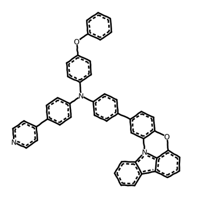 c1ccc(Oc2ccc(N(c3ccc(-c4ccncc4)cc3)c3ccc(-c4ccc5c(c4)-n4c6ccccc6c6cccc(c64)O5)cc3)cc2)cc1